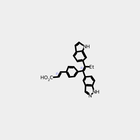 CC/C(=C(/c1ccc(/C=C/C(=O)O)cc1)c1ccc2[nH]ncc2c1)c1ccc2cc[nH]c2c1